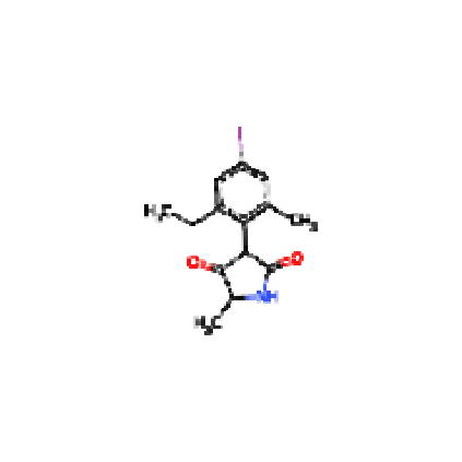 CCc1cc(I)cc(C)c1C1C(=O)NC(C)C1=O